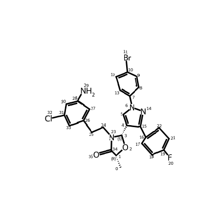 C[C@H]1O[C@@H](c2cn(-c3ccc(Br)cc3)nc2-c2ccc(F)cc2)N(CCc2cc(N)cc(Cl)c2)C1=O